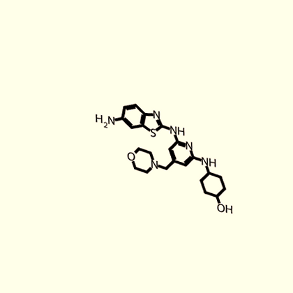 Nc1ccc2nc(Nc3cc(CN4CCOCC4)cc(NC4CCC(O)CC4)n3)sc2c1